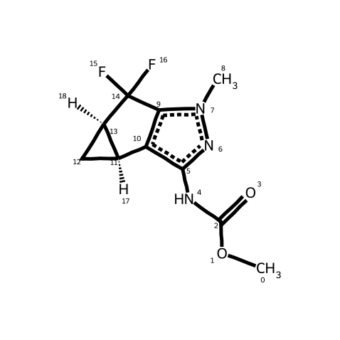 COC(=O)Nc1nn(C)c2c1[C@H]1C[C@H]1C2(F)F